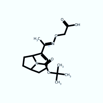 C/C(=N\OCC(=O)O)C1=CCCC2CCC1N2C(=O)OC(C)(C)C